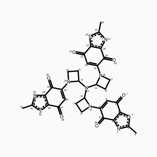 Cc1nc2c(s1)C(=O)C=C(N1CCC1N(C1CCN1C1=CC(=O)c3sc(C)nc3C1=O)C1CCN1C1=CC(=O)c3sc(C)nc3C1=O)C2=O